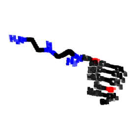 CC(=O)O.CC(=O)O.CC(=O)O.CC(=O)[O-].CC(=O)[O-].C[N-]C.NCCNCCN.[Gd+3]